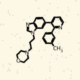 Cc1cccc(-c2ncccc2-c2ccc3ncn(CCCN4CCOCC4)c3c2)c1